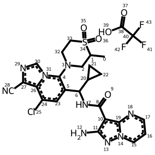 CC1CN(c2c(C(NC(=O)c3c(N)nn4cccnc34)C3CC3)cc(Cl)c3c(C#N)ncn23)CCS1(=O)=O.O=C(O)C(F)(F)F